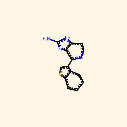 Nc1nc2c(-c3csc4ccccc34)nccc2[nH]1